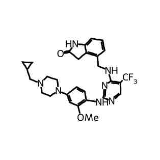 COc1cc(N2CCN(CC3CC3)CC2)ccc1Nc1ncc(C(F)(F)F)c(NCc2cccc3c2CC(=O)N3)n1